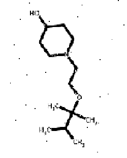 CC(C)C(C)(C)OCCN1CCC(O)CC1